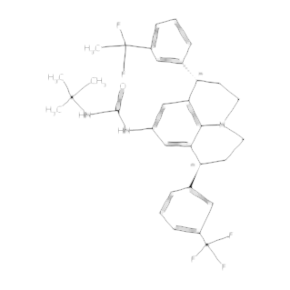 CC(C)(C)NC(=O)Nc1cc2c3c(c1)[C@H](c1cccc(C(F)(F)F)c1)CCN3CC[C@H]2c1cccc(C(C)(F)F)c1